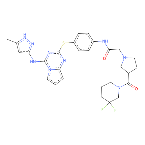 Cc1cc(Nc2nc(Sc3ccc(NC(=O)CN4CCC(C(=O)N5CCCC(F)(F)C5)C4)cc3)nc3cccn23)n[nH]1